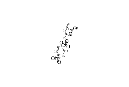 CN1CC(COS(=O)(=O)c2ccc([N+](=O)[O-])cc2)OC1=O